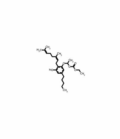 CCCCCc1cc(O)c(CC=C(C)CCC=C(C)C)c(OC(C)OC(=O)OCC)c1